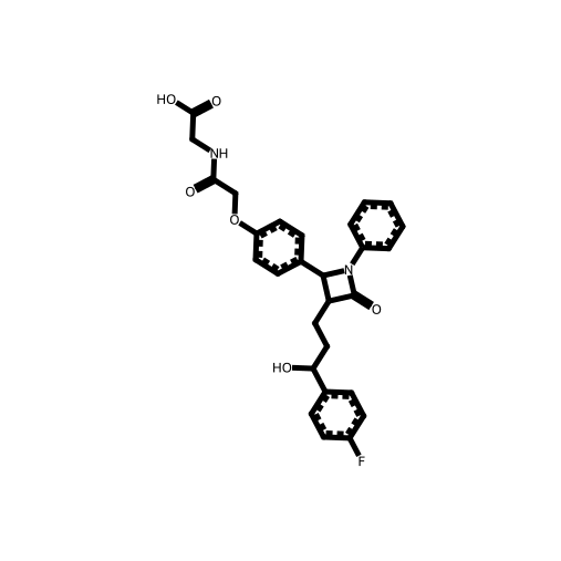 O=C(O)CNC(=O)COc1ccc(C2C(CCC(O)c3ccc(F)cc3)C(=O)N2c2ccccc2)cc1